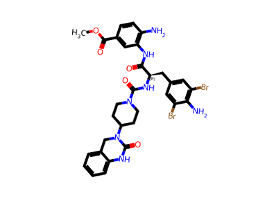 COC(=O)c1ccc(N)c(NC(=O)[C@@H](Cc2cc(Br)c(N)c(Br)c2)NC(=O)N2CCC(N3Cc4ccccc4NC3=O)CC2)c1